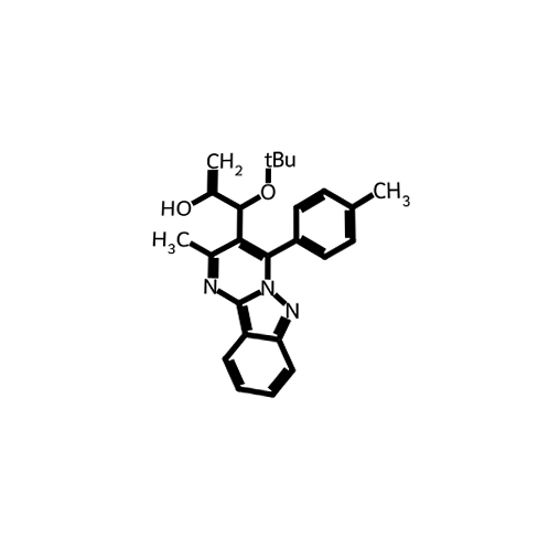 C=C(O)C(OC(C)(C)C)c1c(C)nc2c3ccccc3nn2c1-c1ccc(C)cc1